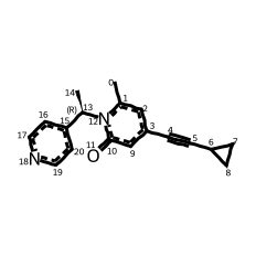 Cc1cc(C#CC2CC2)cc(=O)n1[C@H](C)c1ccncc1